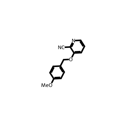 COc1ccc(COc2cccnc2C#N)cc1